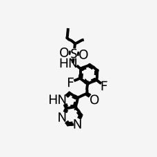 CCC(C)S(=O)(=O)Nc1ccc(F)c(C(=O)c2c[nH]c3ncncc23)c1F